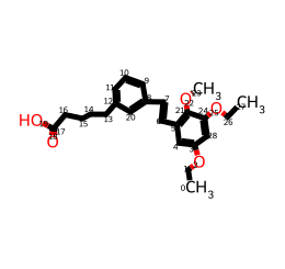 CCOc1cc(C=Cc2cccc(CCCCC(=O)O)c2)c(OC)c(OCC)c1